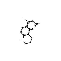 CC(=O)c1cc(=O)oc2c3c(ccc12)NCCC3